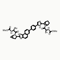 CCC(C)C(NC(=O)OC)C(=O)N1C(c2nc3ccc4cc(-c5ccc(-c6cnc(C7C8CCC(C8)N7C(=O)C(NC(=O)OC)C(C)C)[nH]6)cc5)ccc4c3[nH]2)CC2CC21